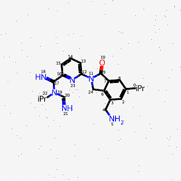 CC(C)c1cc(CN)c2c(c1)C(=O)N(c1cccc(C(=N)N(C=N)C(C)C)n1)C2